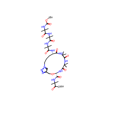 COC(=O)C(C)(C)NC(=O)[C@H]1NC(=O)C(C)(C)NC(=O)C(C)(C)NC(=O)[C@@H](NC(=O)C(C)(C)NC(=O)C(C)(C)NC(=O)C(C)(C)NC(=O)OC(C)(C)C)CCCn2cc(nn2)CO1